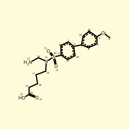 COc1ccc(-c2ccc(S(=O)(=O)N(CN)CCCCC(=O)O)cc2)cc1